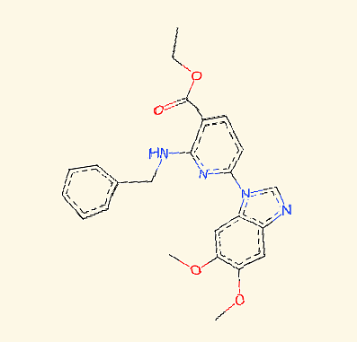 CCOC(=O)c1ccc(-n2cnc3cc(OC)c(OC)cc32)nc1NCc1ccccc1